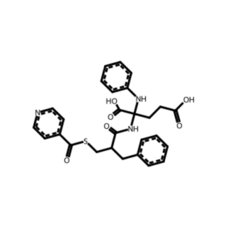 O=C(O)CCC(NC(=O)C(CSC(=O)c1ccncc1)Cc1ccccc1)(Nc1ccccc1)C(=O)O